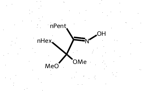 CCCCCCC(OC)(OC)/C(CCCCC)=N/O